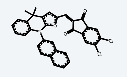 CC1(C)c2ccccc2N(c2ccc3ccccc3c2)c2oc(C=C3C(=O)c4cc(Cl)c(Cl)cc4C3=O)cc21